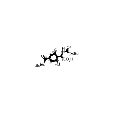 CC(C)(C)OC(=O)NC(C(=O)O)c1c(Cl)cc(C(=O)OC(C)(C)C)cc1Cl